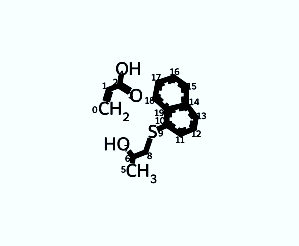 C=CC(=O)O.CC(O)CSc1cccc2ccccc12